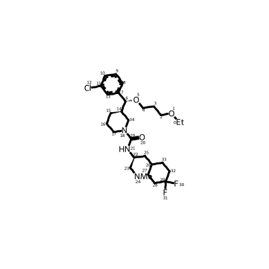 CCOCCCO[C@@H](c1cccc(Cl)c1)[C@@H]1CCCN(C(=O)N[C@H](CNC)CC2CCC(F)(F)CC2)C1